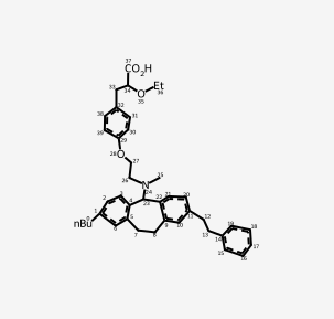 CCCCc1ccc2c(c1)CCc1cc(CCc3ccccc3)ccc1C2N(C)CCOc1ccc(CC(OCC)C(=O)O)cc1